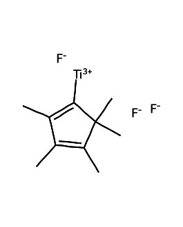 CC1=C(C)C(C)(C)[C]([Ti+3])=C1C.[F-].[F-].[F-]